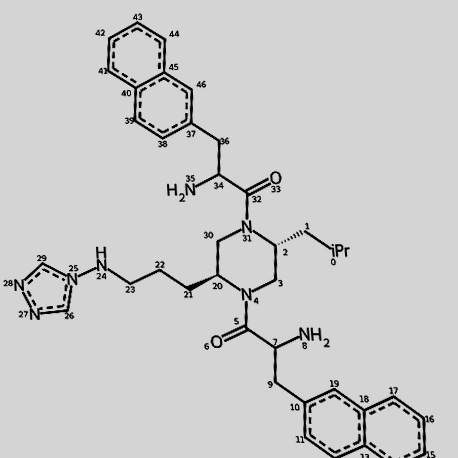 CC(C)C[C@@H]1CN(C(=O)C(N)Cc2ccc3ccccc3c2)[C@@H](CCCNn2cnnc2)CN1C(=O)C(N)Cc1ccc2ccccc2c1